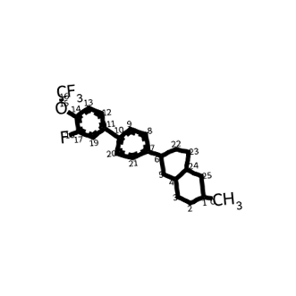 CC1CCC2CC(c3ccc(-c4ccc(OC(F)(F)F)c(F)c4)cc3)CCC2C1